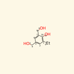 CCc1cc(CO)cc(CO)c1O